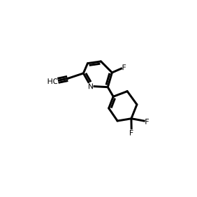 C#Cc1ccc(F)c(C2=CCC(F)(F)CC2)n1